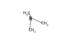 CCCCCCCCCCCCCCCC1N(CCCCCC)C=CN1CCCCCCCCCCCCC